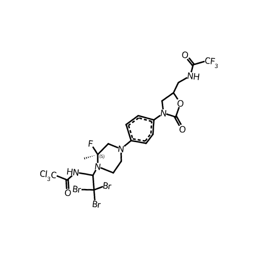 C[C@]1(F)CN(c2ccc(N3CC(CNC(=O)C(F)(F)F)OC3=O)cc2)CCN1C(NC(=O)C(Cl)(Cl)Cl)C(Br)(Br)Br